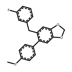 CSc1ccc(-c2cc3c(cc2Cc2cccc(F)c2)OCO3)cc1